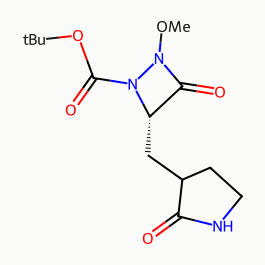 CON1C(=O)[C@H](CC2CCNC2=O)N1C(=O)OC(C)(C)C